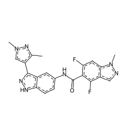 Cc1nn(C)cc1-c1n[nH]c2ccc(NC(=O)c3c(F)cc4c(cnn4C)c3F)cc12